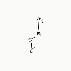 CPSCl